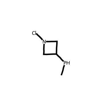 CPC1CN(Cl)C1